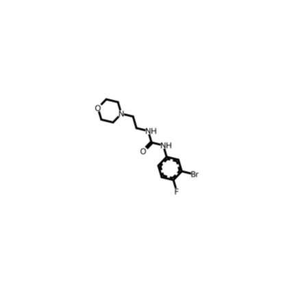 O=C(NCCN1CCOCC1)Nc1ccc(F)c(Br)c1